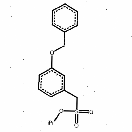 CC(C)OS(=O)(=O)Cc1cccc(OCc2ccccc2)c1